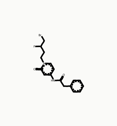 O=C(Cc1ccccc1)Nc1ccn(CCC(F)CBr)c(=O)c1